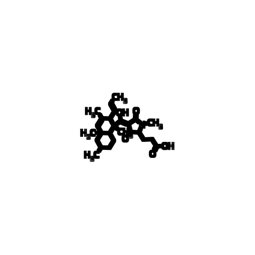 C/C=C/C1C(C)=CC2(C)CC(C)CCC2C1(C)/C(O)=C1\C(=O)C(CCC(=O)O)N(C)C1=O